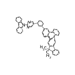 CC1(C)c2ccccc2-c2cc3c4ccccc4c4cc(-c5cccc(-c6cnc(-n7c8ccccc8c8ccccc87)nc6)c5)ccc4c3cc21